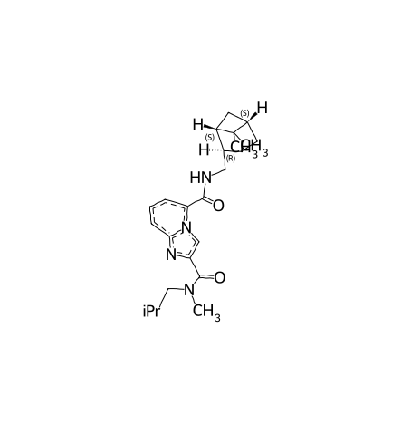 CC(C)CN(C)C(=O)c1cn2c(C(=O)NC[C@@H]3CC[C@H]4C[C@@H]3C4(C)C)cccc2n1